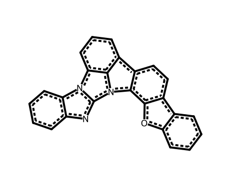 c1ccc2c(c1)nc1n2c2cccc3c4ccc5c6ccccc6oc5c4n1c32